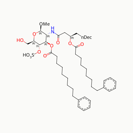 CCCCCCCCCCC[C@H](CC(=O)N[C@H]1[C@H](OC)O[C@H](CO)[C@@H](OS(=O)(=O)O)[C@@H]1OC(=O)CCCCCCCCc1ccccc1)OC(=O)CCCCCCCCc1ccccc1